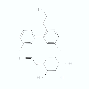 C=CC[C@H]1O[C@H](Oc2ccc(CCC)c(-c3cccc(F)c3)c2)[C@H](O)[C@H](O)[C@H]1C